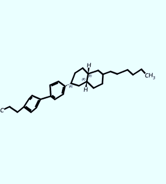 CCCCCCC1CC[C@@H]2C[C@H](c3ccc(-c4ccc(CCC)cc4)cc3)CC[C@@H]2C1